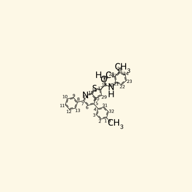 Cc1ccc(-c2cc(-c3ccccc3)nc3sc(C(=O)Nc4cccc(C)c4C)cc23)cc1